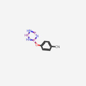 N#Cc1ccc(Op2np[nH][pH][nH]2)cc1